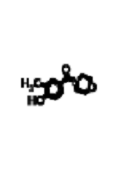 Cc1cc(C(=O)N2CCOCC2)ccc1O